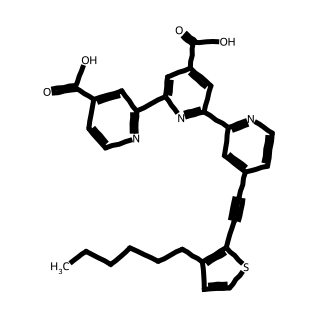 CCCCCCc1ccsc1C#Cc1ccnc(-c2cc(C(=O)O)cc(-c3cc(C(=O)O)ccn3)n2)c1